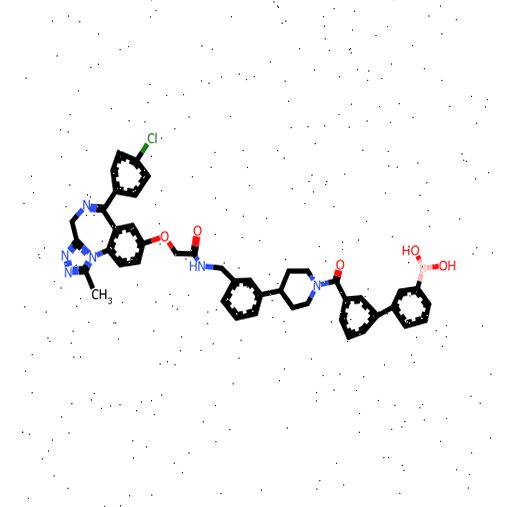 Cc1nnc2n1-c1ccc(OCC(=O)NCc3cccc(C4CCN(C(=O)c5cccc(-c6cccc(B(O)O)c6)c5)CC4)c3)cc1C(c1ccc(Cl)cc1)=NC2